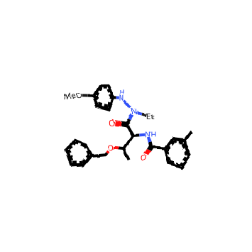 CCN(Nc1ccc(OC)cc1)C(=O)C(NC(=O)c1cccc(C)c1)C(C)OCc1ccccc1